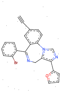 C#Cc1ccc2c(c1)C(c1ccccc1Br)=NCc1c(-c3ccco3)ncn1-2